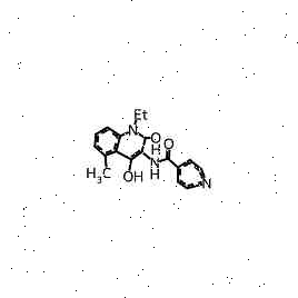 CCN1c2cccc(C)c2C(O)=C(NC(=O)c2ccncc2)C1O